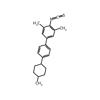 Cc1cc(-c2ccc(C3CCC(C)CC3)cc2)cc(C)c1N=C=S